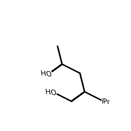 CC(O)CC(CO)C(C)C